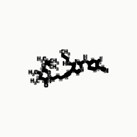 CCCNc1nc(Nc2ccc(C#N)c(F)c2)ncc1C#CCCCNC(=O)[C@H](C)N(C)C(=O)OC(C)(C)C